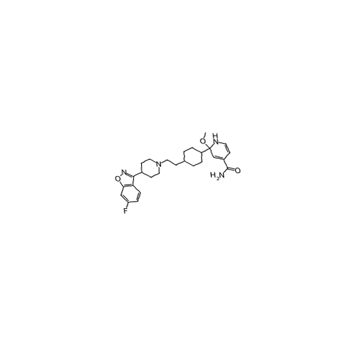 COC1(C2CCC(CCN3CCC(c4noc5cc(F)ccc45)CC3)CC2)C=C(C(N)=O)C=CN1